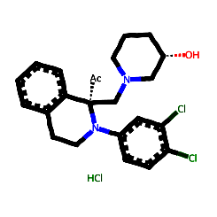 CC(=O)[C@@]1(CN2CCC[C@H](O)C2)c2ccccc2CCN1c1ccc(Cl)c(Cl)c1.Cl